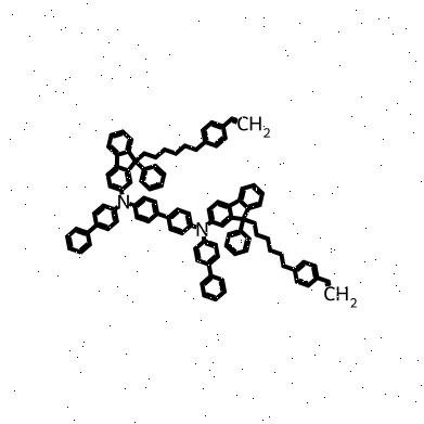 C=Cc1ccc(CCCCCCC2(c3ccccc3)c3ccccc3-c3ccc(N(c4ccc(-c5ccccc5)cc4)c4ccc(-c5ccc(N(c6ccc(-c7ccccc7)cc6)c6ccc7c(c6)C(CCCCCCc6ccc(C=C)cc6)(c6ccccc6)c6ccccc6-7)cc5)cc4)cc32)cc1